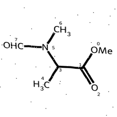 COC(=O)C(C)N(C)[C]=O